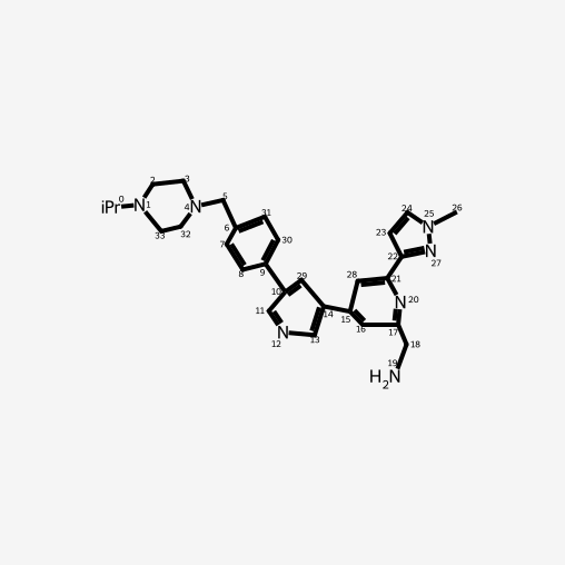 CC(C)N1CCN(Cc2ccc(-c3cncc(-c4cc(CN)nc(-c5ccn(C)n5)c4)c3)cc2)CC1